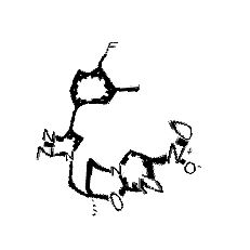 Cc1cc(-c2cn(C[C@@]3(C)Cn4cc([N+](=O)[O-])nc4O3)nn2)ccc1F